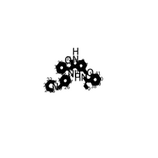 CC[C@@H](NC(=O)c1ccc2c(c1)C(=C(Nc1ccc(CN3CCCCC3)cc1)c1ccccc1)C(=O)N2)c1ccccc1